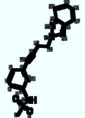 CS(=O)(=O)Nc1cccc(C#CCCn2nc3ccccc3n2)n1